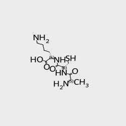 C[C@H](N)C(=O)N[C@@H](CS)C(=O)N[C@@H](CCCCN)C(=O)O